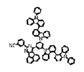 N#Cc1cccc(-c2nc(-c3cc(-n4c5ccccc5c5c(-c6cccc7c6c6ccccc6n7-c6ccccc6)cccc54)cc(-n4c5ccccc5c5c(-c6cccc7c6c6ccccc6n7-c6ccccc6)cccc54)c3)c3c(n2)-c2cccc4cccc-3c24)c1